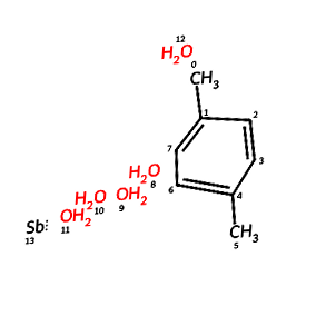 Cc1ccc(C)cc1.O.O.O.O.O.[Sb]